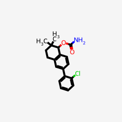 CC1(C)CCc2cc(-c3ccccc3Cl)ccc2C1OC(N)=O